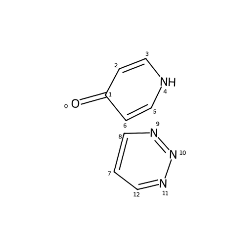 O=c1cc[nH]cc1.c1cnnnc1